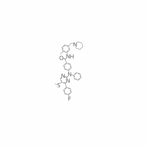 CSc1cnc(N(c2ccccc2)c2ccc(C(=O)Nc3cc(CN4CCCCC4)ccc3C)cc2)nc1-c1ccc(F)cc1